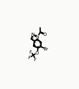 CC(=O)n1ncc2cc(OC(F)(F)F)c(Br)cc21